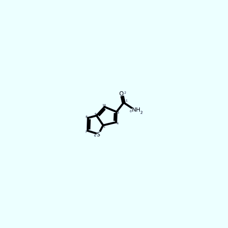 NC(=O)C1=CC2SC=CC2=C1